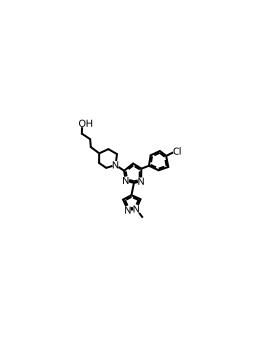 Cn1cc(-c2nc(-c3ccc(Cl)cc3)cc(N3CCC(CCCO)CC3)n2)cn1